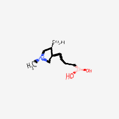 CN1CC(CCCB(O)O)[C@H](C(=O)O)C1